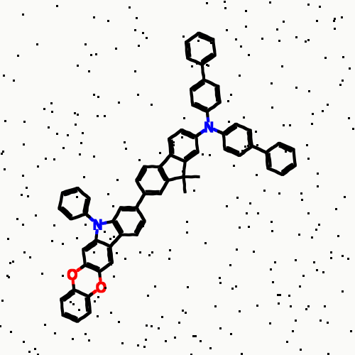 CC1(C)c2cc(-c3ccc4c5cc6c(cc5n(-c5ccccc5)c4c3)Oc3ccccc3O6)ccc2-c2ccc(N(c3ccc(-c4ccccc4)cc3)c3ccc(-c4ccccc4)cc3)cc21